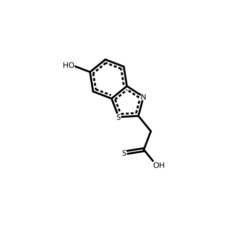 OC(=S)Cc1nc2ccc(O)cc2s1